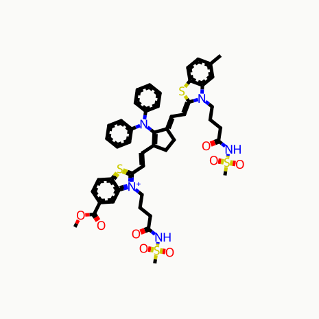 COC(=O)c1ccc2sc(/C=C/C3=C(N(c4ccccc4)c4ccccc4)C(=C/C=C4\Sc5ccc(C)cc5N4CCCC(=O)NS(C)(=O)=O)/CC3)[n+](CCCC(=O)NS(C)(=O)=O)c2c1